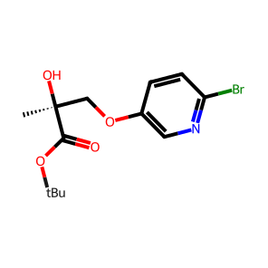 CC(C)(C)OC(=O)[C@@](C)(O)COc1ccc(Br)nc1